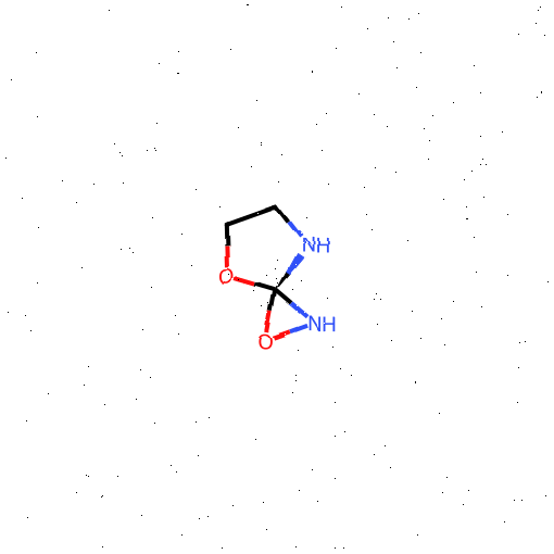 C1CO[C@]2(N1)NO2